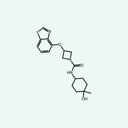 CC1(O)CCC(NC(=O)N2CC(Oc3cccc4scnc34)C2)CC1